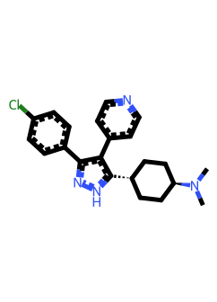 CN(C)[C@H]1CC[C@H](c2[nH]nc(-c3ccc(Cl)cc3)c2-c2ccncc2)CC1